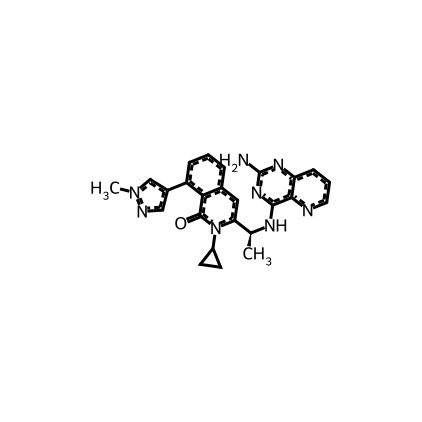 C[C@H](Nc1nc(N)nc2cccnc12)c1cc2cccc(-c3cnn(C)c3)c2c(=O)n1C1CC1